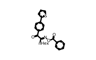 CCCCCC/C(=N\OC(=O)c1ccccc1)C(=O)c1ccc(-c2cccs2)cc1